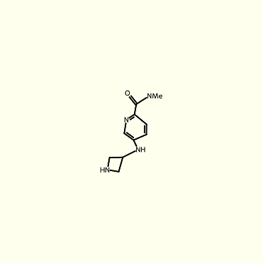 CNC(=O)c1ccc(NC2CNC2)cn1